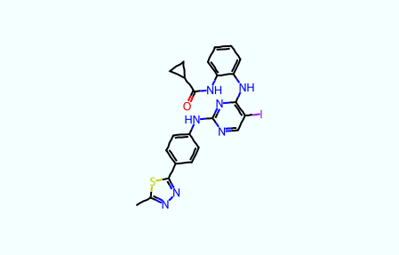 Cc1nnc(-c2ccc(Nc3ncc(I)c(Nc4ccccc4NC(=O)C4CC4)n3)cc2)s1